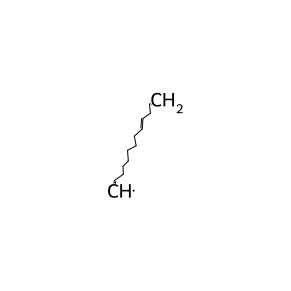 [CH]=CCCCCCCC=CCC=C